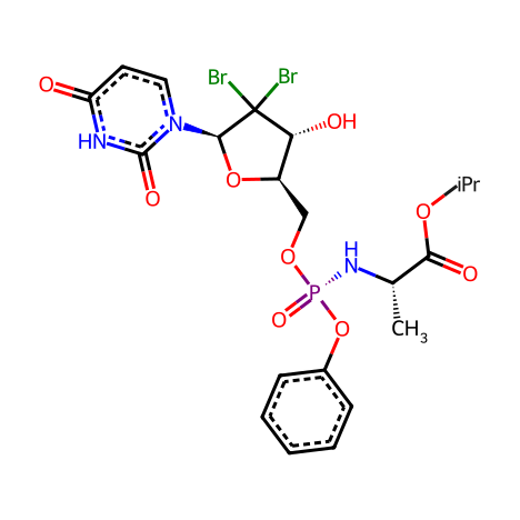 CC(C)OC(=O)[C@H](C)N[P@](=O)(OC[C@H]1O[C@@H](n2ccc(=O)[nH]c2=O)C(Br)(Br)[C@@H]1O)Oc1ccccc1